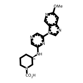 COc1cc2ncn(-c3cncc(N[C@@H]4CCCN(C(=O)O)C4)n3)c2cn1